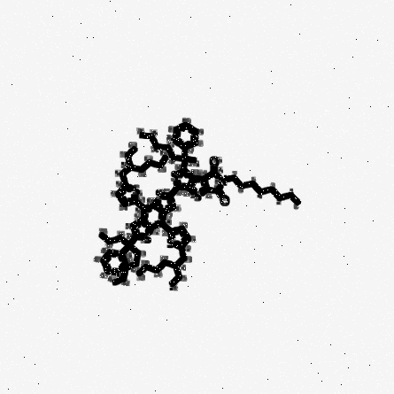 CCCCCCCCN1C(=O)c2sc3c(-c4cc5c(-c6ccc(CC(CC)CCCC)s6)c6sc(C(CCC)(CCCCC)c7ccccc7)cc6c(-c6ccc(CC(CC)CCCC)s6)c5s4)sc(C(C)(CCCCC)c4ccccc4)c3c2C1=O